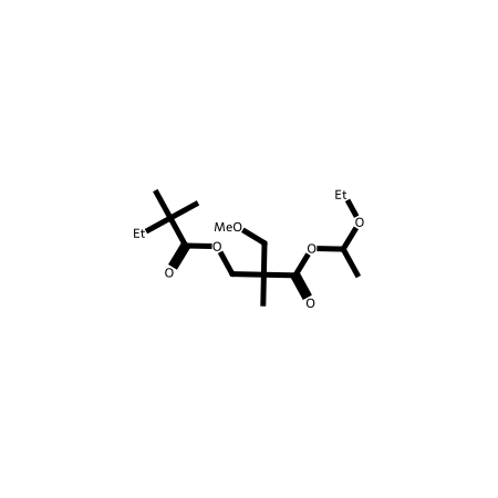 CCOC(C)OC(=O)C(C)(COC)COC(=O)C(C)(C)CC